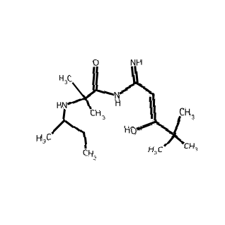 CCC(C)NC(C)(C)C(=O)NC(=N)/C=C(\O)C(C)(C)C